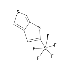 FS(F)(F)(F)(F)c1cc2cscc2s1